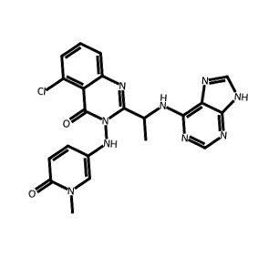 CC(Nc1ncnc2[nH]cnc12)c1nc2cccc(Cl)c2c(=O)n1Nc1ccc(=O)n(C)c1